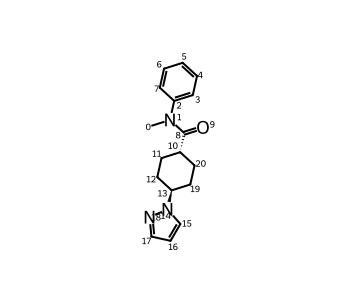 CN(c1ccccc1)C(=O)[C@H]1CC[C@H](n2cccn2)CC1